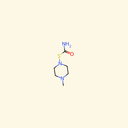 CN1CCN(SC(N)=O)CC1